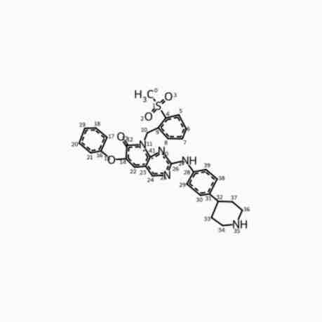 CS(=O)(=O)c1ccccc1Cn1c(=O)c(Oc2ccccc2)cc2cnc(Nc3ccc(C4CCNCC4)cc3)nc21